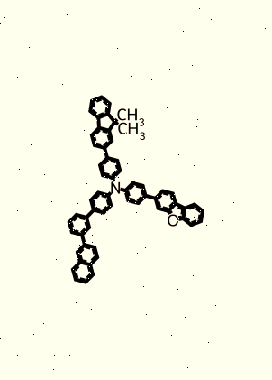 CC1(C)c2ccccc2-c2ccc(-c3ccc(N(c4ccc(-c5cccc(-c6ccc7ccccc7c6)c5)cc4)c4ccc(-c5ccc6c(c5)oc5ccccc56)cc4)cc3)cc21